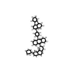 c1ccc(-c2ccc3ccc4ccc(-c5c6ccccc6c(-c6ccc(-c7ccc8c9c(cccc79)-c7ccccc7-8)cc6)c6ccccc56)nc4c3n2)cc1